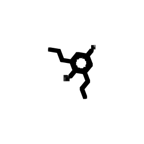 CCCc1cc(F)cc(CCC)c1Br